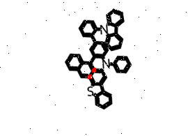 c1ccc(N(c2ccc3sc4ccccc4c3c2)c2ccc(-c3ccccc3-n3c4ccccc4c4ccccc43)cc2-c2cccc3ccccc23)cc1